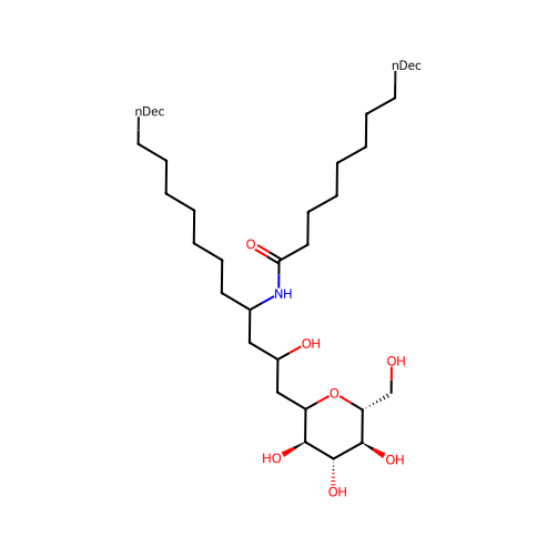 CCCCCCCCCCCCCCCCCC(=O)NC(CCCCCCCCCCCCCCCCC)CC(O)CC1O[C@H](CO)[C@@H](O)[C@H](O)[C@H]1O